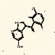 COc1cnc2c(c1)C(C(=O)c1c(F)ccc(N)c1F)CN2